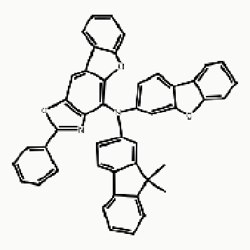 CC1(C)c2ccccc2-c2ccc(N(c3ccc4c(c3)oc3ccccc34)c3c4nc(-c5ccccc5)oc4cc4c3oc3ccccc34)cc21